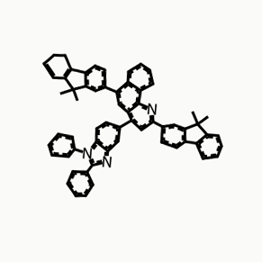 CC1(C)C2=C(CCC=C2)c2ccc(-c3cc4c(-c5ccc6c(c5)nc(-c5ccccc5)n6-c5ccccc5)cc(-c5ccc6c(c5)C(C)(C)c5ccccc5-6)nc4c4ccccc34)cc21